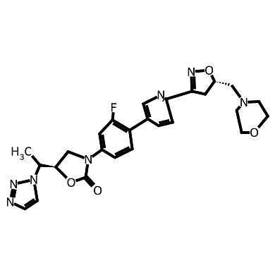 CC([C@H]1CN(c2ccc(-c3ccc(C4=NO[C@H](CN5CCOCC5)C4)nc3)c(F)c2)C(=O)O1)n1ccnn1